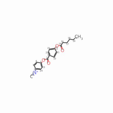 [C-]#[N+]c1ccc(OC(=O)c2ccc(OC(=O)CCCCC)cc2)cc1